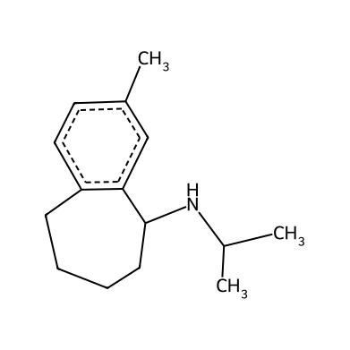 Cc1ccc2c(c1)C(NC(C)C)CCCC2